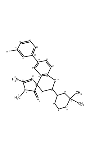 CN1C(=O)C2(CC(C3CCOC(C)(C)C3)Oc3ccc(-c4cccc(F)c4)cc32)N=C1N